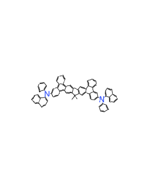 CC1(C)c2cc3c4ccc(N(c5ccccc5)c5cccc6ccccc56)cc4c4ccccc4c3cc2-c2cc3c4ccccc4c4cc(N(c5ccccc5)c5cccc6ccccc56)ccc4c3cc21